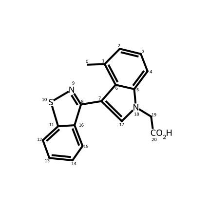 Cc1cccc2c1c(-c1nsc3ccccc13)cn2CC(=O)O